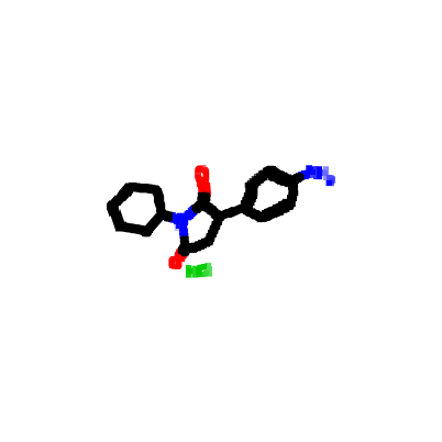 Cl.Nc1ccc(C2CC(=O)N(C3CCCCC3)C2=O)cc1